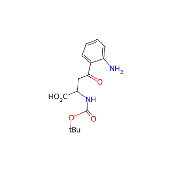 CC(C)(C)OC(=O)NC(CC(=O)c1ccccc1N)C(=O)O